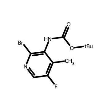 Cc1c(F)cnc(Br)c1NC(=O)OC(C)(C)C